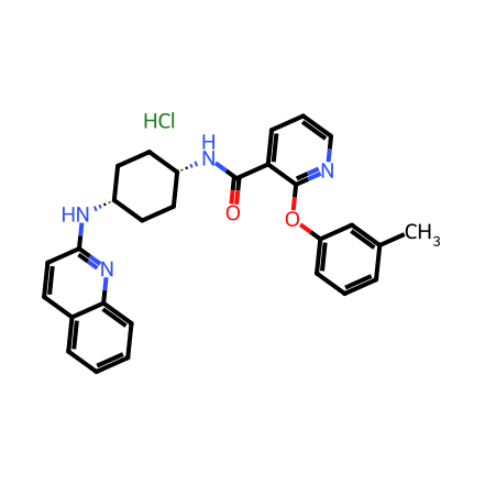 Cc1cccc(Oc2ncccc2C(=O)N[C@H]2CC[C@@H](Nc3ccc4ccccc4n3)CC2)c1.Cl